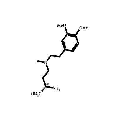 COc1ccc(CCN(C)CC[C@@H](N)C(=O)O)cc1OC